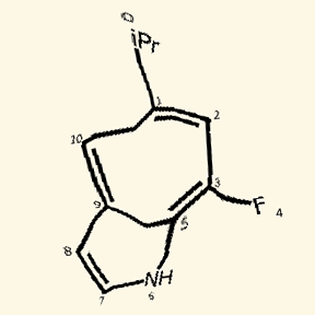 CC(C)c1cc(F)c2[nH]ccc2c1